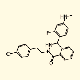 CNc1ccc(C2NN(CCc3ccc(Cl)cc3)C(=O)c3ccccc32)c(F)c1